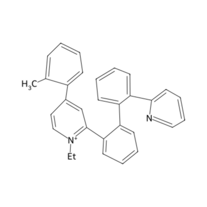 CC[n+]1ccc(-c2ccccc2C)cc1-c1ccccc1-c1ccccc1-c1ccccn1